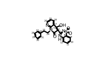 O=c1c(C2=NS(=O)(=O)c3ccccc3N2)c(O)c2cccnc2n1CCc1ccccc1